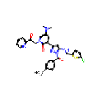 CN(C)c1cc(-c2cc(NCc3ccc(Cl)s3)n(C(=O)c3ccc(C(=O)O)cc3)n2)c(=O)n(CC(=O)c2ccccn2)c1